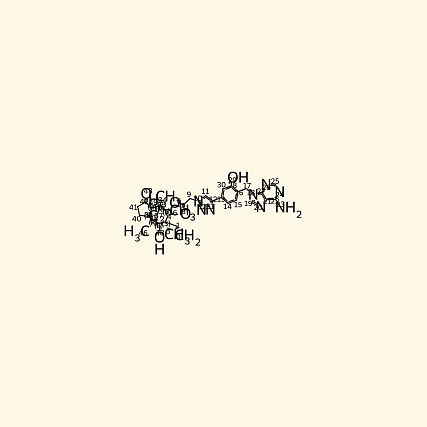 C=C[C@]1(C)C[C@@H](OC(=O)Cn2cc(-c3ccc(Cn4cnc5c(N)ncnc54)c(O)c3)nn2)[C@]2(C)[C@H](C)CC[C@]3(CCC(=O)[C@H]32)[C@@H](C)[C@@H]1O